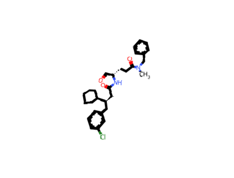 CN(Cc1ccccc1)C(=O)CC[C@@H](C=O)NC(=O)[CH][C@@H](Cc1cccc(Cl)c1)C1CCCCC1